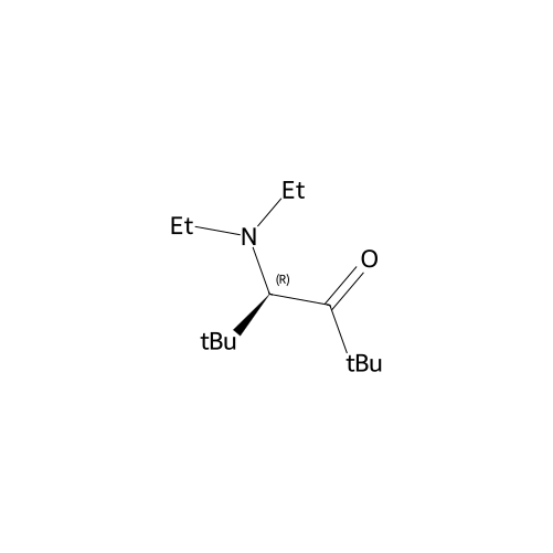 CCN(CC)[C@@H](C(=O)C(C)(C)C)C(C)(C)C